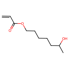 C=CC(=O)OCCCCCC(C)O